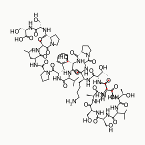 CC(C)C[C@H](NC(=O)[C@@H]1CCCN1C(=O)[C@H](Cc1ccccc1)NC(=O)[C@@H](NC(=O)[C@H](CO)NC(=O)[C@@H]1CCCN1C(=O)CNC(=O)[C@H](CCCCN)NC(=O)[C@@H](NC(=O)[C@H](CO)NC(=O)[C@H](C)NC(=O)[C@H](CO)NC(=O)[C@H](CO)NC(=O)[C@@H](NC(=O)[C@@H](NC(=O)[C@@H](N)C(C)C)[C@@H](C)O)C(C)C)[C@@H](C)O)C(C)C)C(=O)N[C@@H](C)C(=O)N1CCC[C@H]1C(=O)N[C@@H](CO)C(=O)N[C@@H](CO)C(=O)O